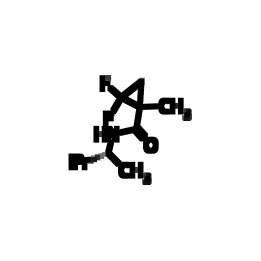 CC(C)[C@@H](C)NC(=O)C1(C)CC1(F)F